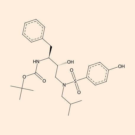 CC(C)CN(C[C@@H](O)[C@H](Cc1ccccc1)NC(=O)OC(C)(C)C)S(=O)(=O)c1ccc(O)cc1